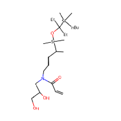 C=CC(=O)N(CCCC(C)[Si](C)(C)OC(CC)(CC)[Si](C)(C)CCCC)CC(O)CO